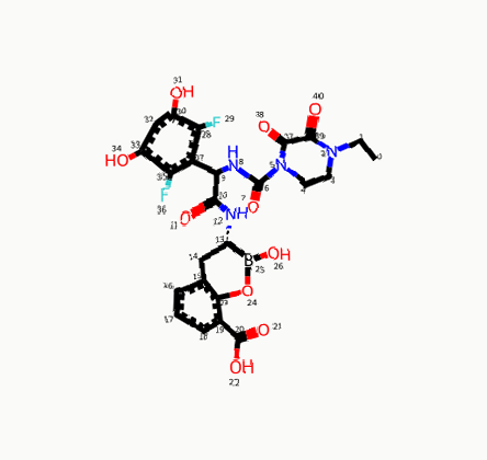 CCN1CCN(C(=O)NC(C(=O)N[C@H]2Cc3cccc(C(=O)O)c3OB2O)c2c(F)c(O)cc(O)c2F)C(=O)C1=O